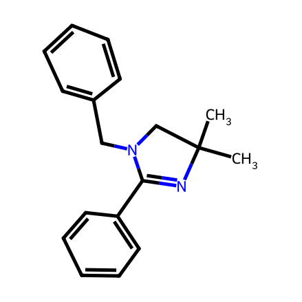 CC1(C)CN(Cc2ccccc2)C(c2ccccc2)=N1